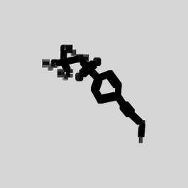 CC(C)(C)NS(=O)(=O)c1ccc(C#CSI)cc1